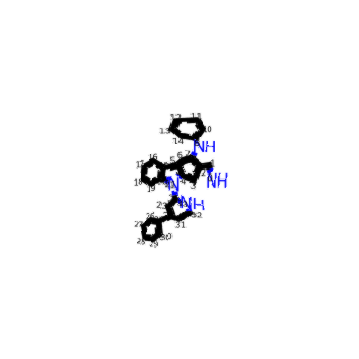 N=Cc1cc2c(cc1Nc1ccccc1)c1ccccc1n2C1C=C(c2ccccc2)C=CN1